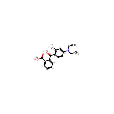 CCN(CC)c1ccc(C(=O)c2ccccc2C(=O)O)c(C)c1